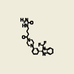 NC(=O)NCCCC(=O)N1CCN(c2cccc(-c3nc4ccccc4n3C(F)F)c2)CC1